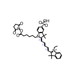 CC[N+]1=C(/C=C/C=C/C=C2/N(CCCCCC(=O)ON3C(=O)CCC3=O)c3ccc(S(=O)(=O)O)cc3C2(C)C)C(C)(C)c2ccccc21